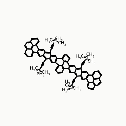 C[Si](C)(C)C#Cc1c2cc3c(cc2c(C#C[Si](C)(C)C)c2cc4c(cc12)c1cccc2c5cc6c(C#C[Si](C)(C)C)c7cc8c(cc7c(C#C[Si](C)(C)C)c6cc5c5cccc4c5c12)c1cccc2ccc4cccc8c4c21)c1cccc2ccc4cccc3c4c21